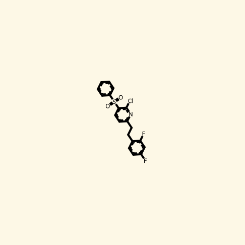 O=S(=O)(c1ccccc1)c1ccc(CCc2ccc(F)cc2F)nc1Cl